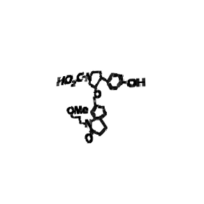 COCCCN1C(=O)CCc2ccc(COC3CN(C(=O)O)CCC3c3ccc(O)cc3)cc21